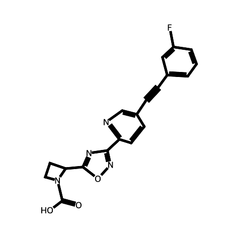 O=C(O)N1CCC1c1nc(-c2ccc(C#Cc3cccc(F)c3)cn2)no1